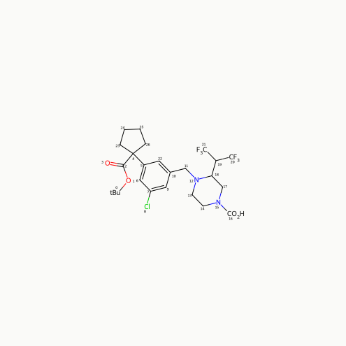 CC(C)(C)OC(=O)C1(c2cc(Cl)cc(CN3CCN(C(=O)O)CC3C(C(F)(F)F)C(F)(F)F)c2)CCCC1